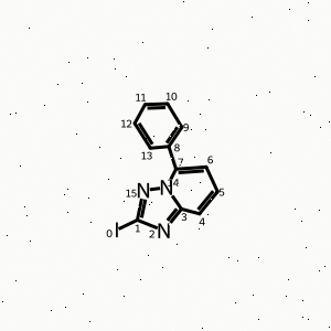 Ic1nc2cccc(-c3ccccc3)n2n1